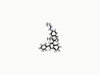 CC/C=C/c1ccc(F)c(NC(=O)c2cc(-c3ccccc3)cc3ccccc23)c1